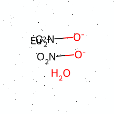 O.O=[N+]([O-])[O-].O=[N+]([O-])[O-].[Eu+2]